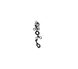 O=C(OCCC1CCCC1)c1ccc(S(=O)(=O)n2cncn2)cc1